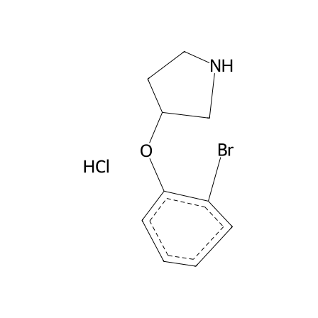 Brc1ccccc1OC1CCNC1.Cl